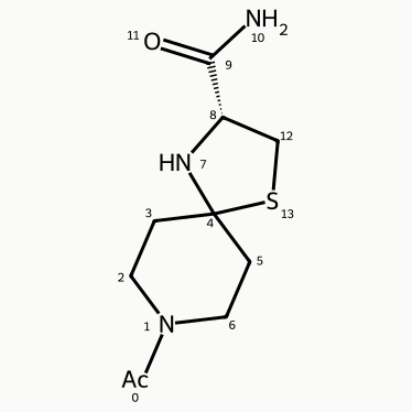 CC(=O)N1CCC2(CC1)N[C@H](C(N)=O)CS2